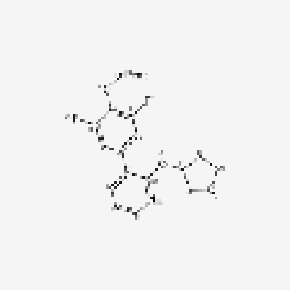 CCCCCOc1c(F)cc(-c2cccnc2OC2CCOC2)cc1F